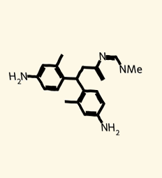 C=C(CC(c1ccc(N)cc1C)c1ccc(N)cc1C)/N=C\NC